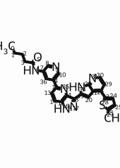 CCCCC(=O)Nc1cncc(-c2ccc3[nH]nc(-c4cc5c(-c6ccc(C)s6)ccnc5[nH]4)c3n2)c1